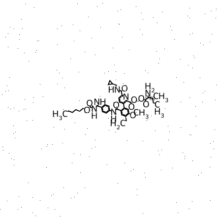 C=Cc1cc(C(=O)Nc2ccc(C(=N)NC(=O)OCCCCCC)cc2)c(-c2ccc(C(=O)NCC3CC3)nc2C(=O)OCOC(=O)[C@@H](N)[C@@H](C)CC)cc1OC